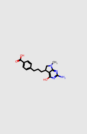 CN1CC(CCCc2ccc(C(=O)O)cc2)c2c(O)nc(N)nc21